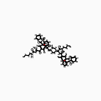 CCCCNC(=O)CC(OC)C(=O)c1c(C)c(C(=O)P(=O)(c2ccccc2)c2ccccc2)c(C)c(C(O)CN2CCN(C(CC(=O)c3c(C)cc(C)c(C(=O)P(=O)(c4ccccc4)c4ccccc4)c3C)C(=O)NCCCC)CC2)c1C